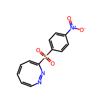 O=[N+]([O-])c1ccc(S(=O)(=O)C2=CC=CC=CN=N2)cc1